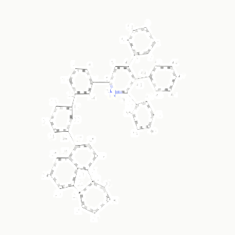 c1ccc(-c2cc(-c3cccc(-c4cccc(-c5ccc6c7c(cccc57)-c5ccccc5-6)c4)c3)nc(-c3ccccc3)c2-c2ccccc2)cc1